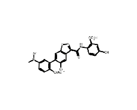 COc1ccc(N(C)C(C)=O)cc1-c1cc2onc(C(=O)Nc3ccc(C#N)cc3C(=O)O)c2cc1C(F)(F)F